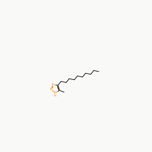 CCCCCCCCCCc1pp[pH]c1C